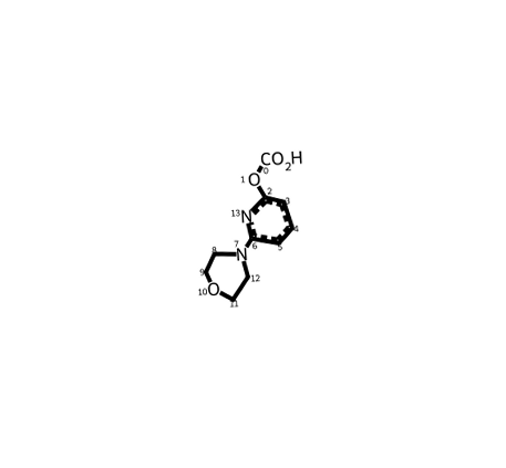 O=C(O)Oc1cccc(N2CCOCC2)n1